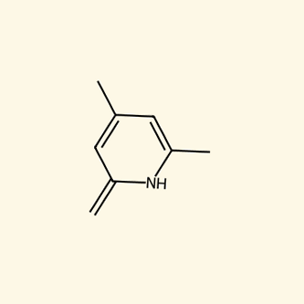 C=C1C=C(C)C=C(C)N1